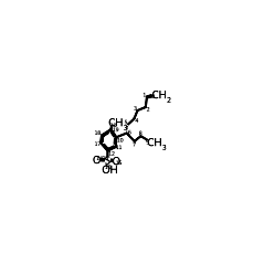 C=CCCCC[C@H](CCC)c1cc(S(=O)(=O)O)ccc1C